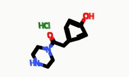 Cl.O=C(Cc1ccc(O)cc1)N1CCNCC1